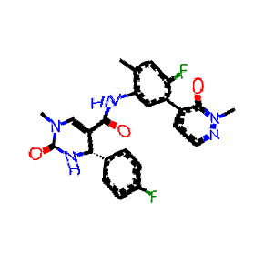 Cc1cc(F)c(-c2ccnn(C)c2=O)cc1NC(=O)C1=CN(C)C(=O)N[C@H]1c1ccc(F)cc1